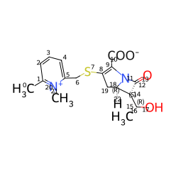 Cc1cccc(CSC2=C(C(=O)[O-])N3C(=O)[C@H]([C@@H](C)O)[C@H]3C2)[n+]1C